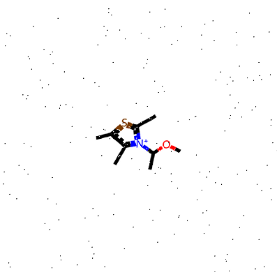 COC(C)[n+]1c(C)sc(C)c1C